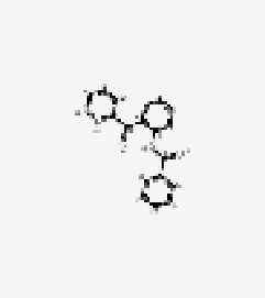 O=C(Nc1ccccc1C(=O)c1cccnn1)c1ccccc1